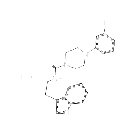 C[C@@H](c1c[nH]c2ccccc12)[C@@H](NC(=O)N1CCN(c2cccc(F)c2)CC1)C(=O)O